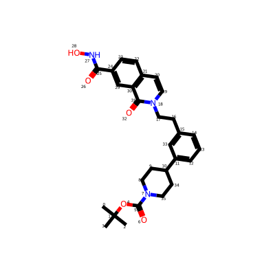 CC(C)(C)OC(=O)N1CCC(c2cccc(CCn3ccc4ccc(C(=O)NO)cc4c3=O)c2)CC1